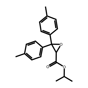 Cc1ccc(C2(c3ccc(C)cc3)OC2C(=O)OC(C)C)cc1